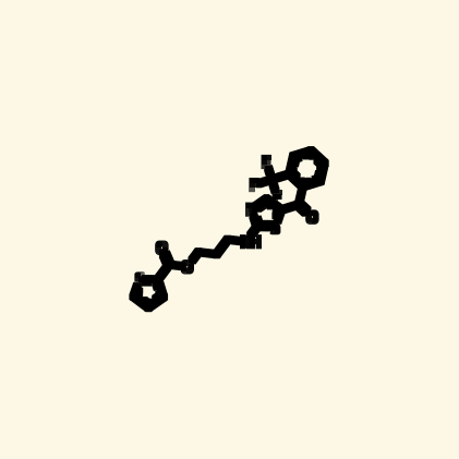 O=C(OCCCNc1ncc(C(=O)c2ccccc2C(F)(F)F)s1)c1cccs1